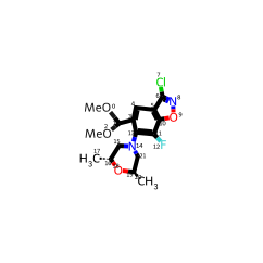 COC(OC)c1cc2c(Cl)noc2c(F)c1N1C[C@@H](C)O[C@H](C)C1